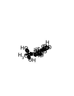 [2H]C1([2H])N(CC2CCN(c3ccc(C(=C(CC)c4ccc(O)cc4)c4ccc(O)cc4)cc3)CC2)C([2H])([2H])C([2H])([2H])N(c2cc3c(cc2F)C(=O)N(C2CCC(=O)NC2=O)C3=O)C1([2H])[2H]